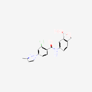 Cc1ccn(-c2ccc(C(=O)Nc3ccc4c(c3)B(O)OC4)c(Cl)c2)n1